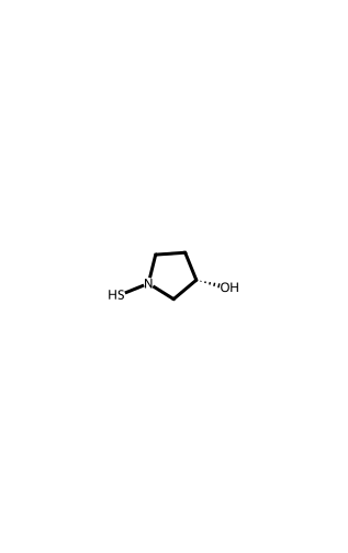 O[C@H]1CCN(S)C1